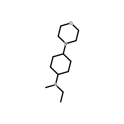 CCN(C)C1CCC(N2CCOCC2)CC1